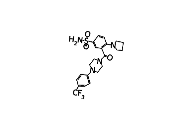 NS(=O)(=O)c1ccc(N2CCCC2)c(C(=O)N2CCN(c3ccc(C(F)(F)F)cc3)CC2)c1